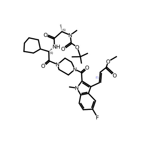 COC(=O)/C=C/c1c(C(=O)N2CCN(C(=O)[C@@H](NC(=O)[C@H](C)N(C)C(=O)OC(C)(C)C)C3CCCCC3)CC2)n(C)c2ccc(F)cc12